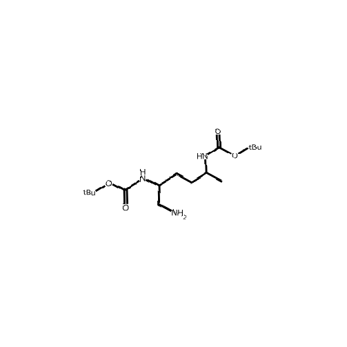 CC(CCC(CN)NC(=O)OC(C)(C)C)NC(=O)OC(C)(C)C